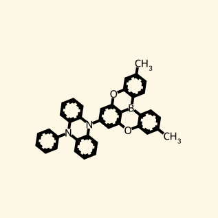 Cc1ccc2c(c1)Oc1cc(N3c4ccccc4N(c4ccccc4)c4ccccc43)cc3c1B2c1ccc(C)cc1O3